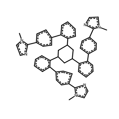 Cn1ccnc1-c1ccc(-c2ccccc2C2CC(c3ccccc3-c3ccc(-c4nccn4C)cc3)CC(c3ccccc3-c3ccc(-c4nccn4C)cc3)C2)cc1